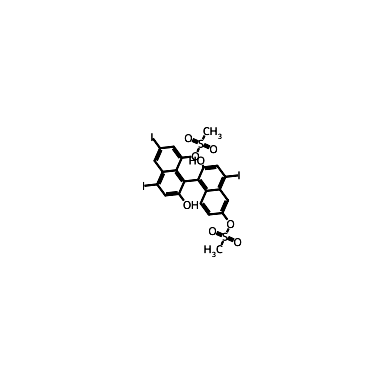 CS(=O)(=O)Oc1ccc2c(-c3c(O)cc(I)c4cc(I)cc(OS(C)(=O)=O)c34)c(O)cc(I)c2c1